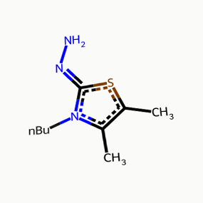 CCCCn1c(C)c(C)sc1=NN